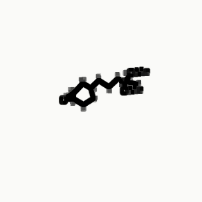 CO[Si](C)(CCCC1CCC2OC2C1)OC